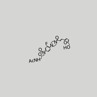 CC(=O)NCC1CN(c2ccc(N3CCN(C(=O)C=Cc4ccc(CO)o4)CC3)c(F)c2)C(=O)O1